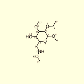 CCOC1C(OC)OC(CNOC)C(O)C1OC